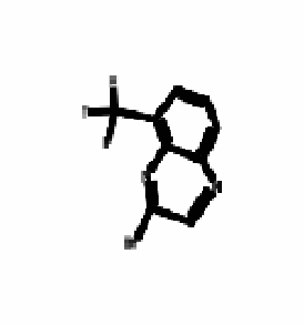 FC(F)(F)c1cccc2ncc(Br)nc12